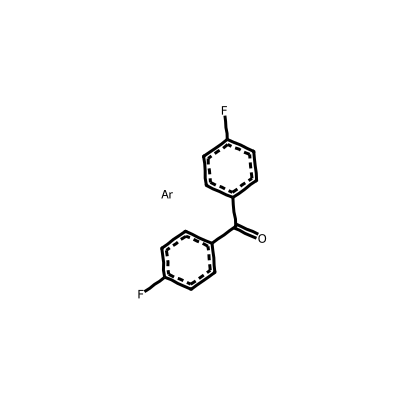 O=C(c1ccc(F)cc1)c1ccc(F)cc1.[Ar]